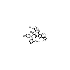 COc1ccccc1[C@H](Cn1c(=O)n(C(C)(C)C(=O)NC(C)C)c(=O)c2c(C)c(-c3ncco3)sc21)OC1CCC(=O)CC1